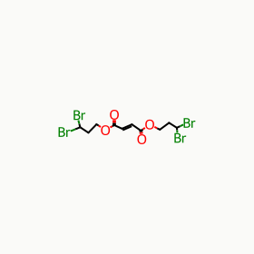 O=C(C=CC(=O)OCCC(Br)Br)OCCC(Br)Br